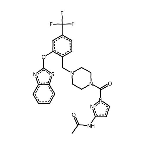 CC(=O)Nc1ccn(C(=O)N2CCN(Cc3ccc(C(F)(F)F)cc3Oc3nc4ccccc4s3)CC2)n1